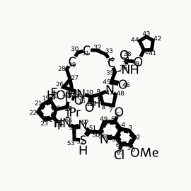 COc1ccc2c(O[C@@H]3C[C@H]4C(=O)N[C@]5(P(=O)(O)Cc6c(F)cccc6F)CC5CCCCCCC[C@H](NC(=O)OC5CCCC5)C(=O)N4C3)cc(C3=[SH]CC(NC(C)C)=N3)nc2c1Cl